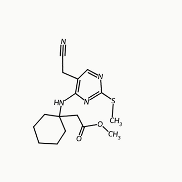 COC(=O)CC1(Nc2nc(SC)ncc2CC#N)CCCCC1